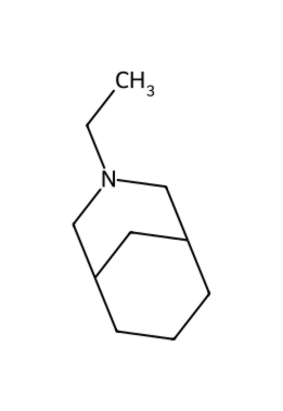 CCN1CC2CCCC(C2)C1